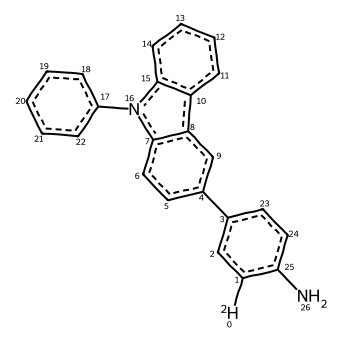 [2H]c1cc(-c2ccc3c(c2)c2ccccc2n3-c2ccccc2)ccc1N